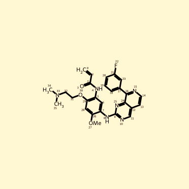 C=CC(=O)Nc1cc(Nc2ncc3ccnc(-c4cccc(F)c4)c3n2)c(OC)cc1OCCN(C)C